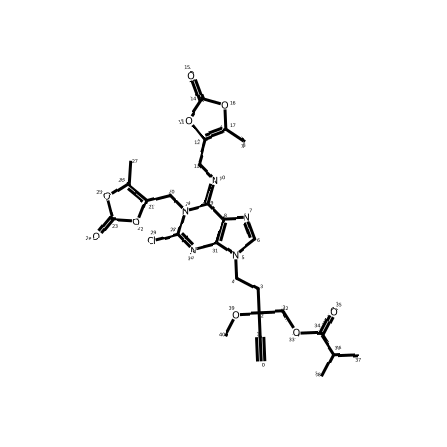 C#CC(CCn1cnc2/c(=N/Cc3oc(=O)oc3C)n(Cc3oc(=O)oc3C)c(Cl)nc21)(COC(=O)C(C)C)OC